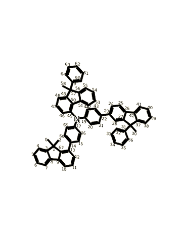 CC1(C)c2ccccc2-c2cccc(-c3ccc(N(c4ccc(-c5ccc6c(c5)C(C)(c5ccccc5)c5ccccc5-6)cc4)c4cccc5c4-c4ccccc4C5(C)c4ccccc4)cc3)c21